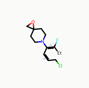 CC/C(F)=C(\C=C/CCl)N1CCC2(CC1)CO2